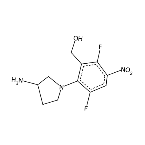 NC1CCN(c2c(F)cc([N+](=O)[O-])c(F)c2CO)C1